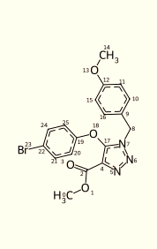 COC(=O)c1nnn(Cc2ccc(OC)cc2)c1Oc1ccc(Br)cc1